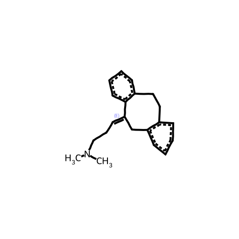 CN(C)CC/C=C1\Cc2ccccc2CCc2ccccc21